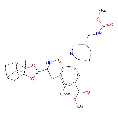 COc1c(CC(NC(=O)CN2CCCC(CNC(=O)OC(C)(C)C)C2)B2OC3CC4CC(C4(C)C)C3(C)O2)cccc1C(=O)OC(C)(C)C